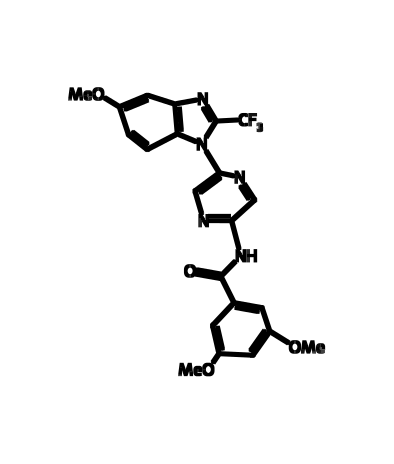 COc1cc(OC)cc(C(=O)Nc2cnc(-n3c(C(F)(F)F)nc4cc(OC)ccc43)cn2)c1